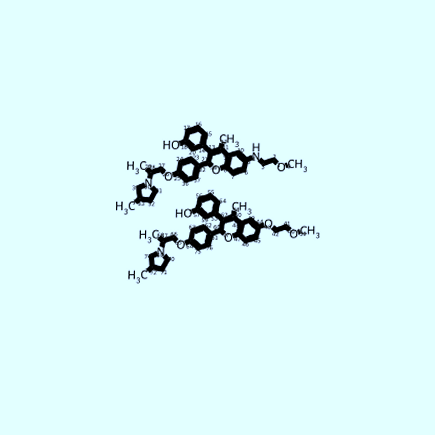 COCCNc1ccc2c(c1)C(C)=C(c1cccc(O)c1)C(c1ccc(OCC(C)N3CCC(C)C3)cc1)O2.COCCOc1ccc2c(c1)C(C)=C(c1cccc(O)c1)C(c1ccc(OCC(C)N3CCC(C)C3)cc1)O2